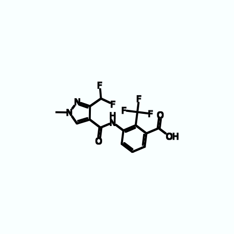 Cn1cc(C(=O)Nc2cccc(C(=O)O)c2C(F)(F)F)c(C(F)F)n1